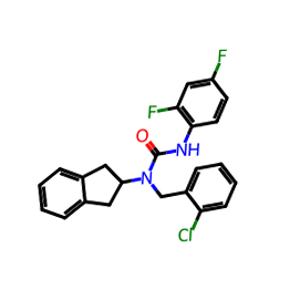 O=C(Nc1ccc(F)cc1F)N(Cc1ccccc1Cl)C1Cc2ccccc2C1